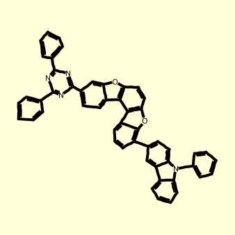 c1ccc(-c2nc(-c3ccccc3)nc(-c3ccc4c(c3)oc3ccc5oc6c(-c7ccc8c(c7)c7ccccc7n8-c7ccccc7)cccc6c5c34)n2)cc1